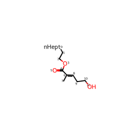 CCCCCCCCCOC(=O)C(C)=CCCO